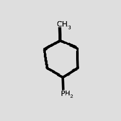 CC1CCC(P)CC1